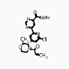 C=CC(=O)N1CCO[C@H](C)[C@@H]1c1cc(Cl)nc(-c2cc(C(=O)NC)ncn2)c1